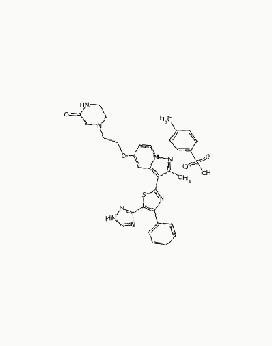 Cc1ccc(S(=O)(=O)O)cc1.Cc1nn2ccc(OCCN3CCNC(=O)C3)cc2c1-c1nc(-c2ccccc2)c(-c2nc[nH]n2)s1